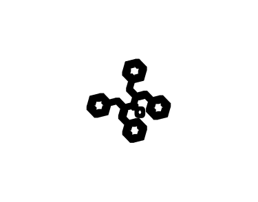 O=C(/C(=C\c1ccccc1)Cc1ccccc1)/C(=C\c1ccccc1)Cc1ccccc1